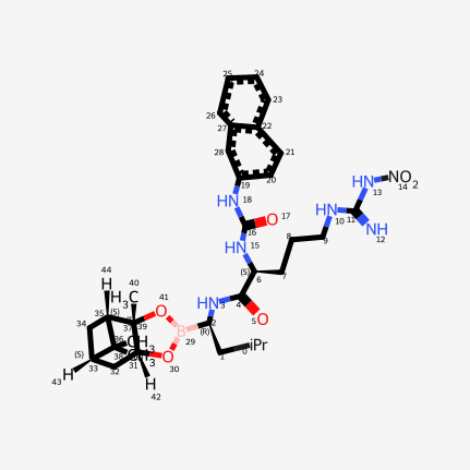 CC(C)C[C@H](NC(=O)[C@H](CCCNC(=N)N[N+](=O)[O-])NC(=O)Nc1ccc2ccccc2c1)B1O[C@@H]2C[C@@H]3C[C@@H](C3(C)C)[C@]2(C)O1